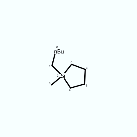 CCCCC[Si]1(C)CCCC1